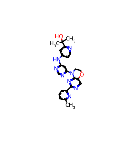 Cc1cccc(-c2ncc3c(n2)N(c2cc(Nc4ccnc(C(C)(C)O)c4)ncn2)CCO3)n1